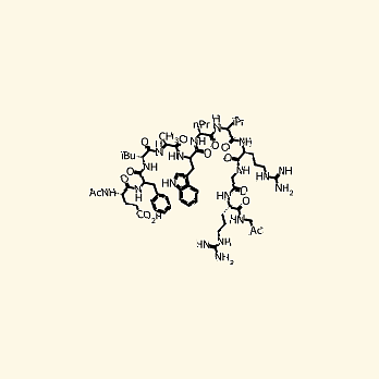 CCC[C@H](NC(=O)C(Cc1c[nH]c2ccccc12)NC(=O)[C@H](C)NC(=O)[C@@H](NC(=O)C(Cc1ccccc1)NC(=O)[C@H](CCC(=O)O)NC(C)=O)[C@@H](C)CC)C(=O)NC(C(=O)N[C@@H](CCCNC(=N)N)C(=O)NCC(=O)N[C@@H](CCCNC(=N)N)C(=O)NCC(C)=O)C(C)C